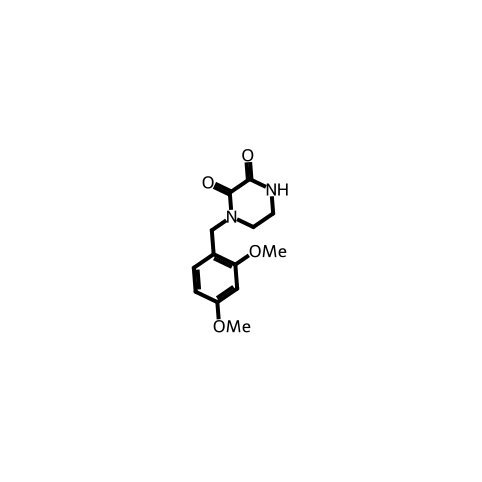 COc1ccc(CN2CCNC(=O)C2=O)c(OC)c1